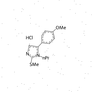 CCCn1c(-c2ccc(OC)cc2)cnc1SC.Cl